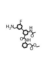 CCOC(=O)Cc1ccccc1NC(=O)c1cc(NC(C)=O)cc(-c2cc(F)cc(CN)c2)c1